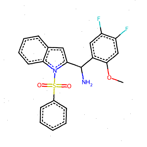 COc1cc(F)c(F)cc1C(N)c1cc2ccccc2n1S(=O)(=O)c1ccccc1